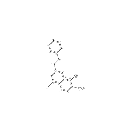 CCOC(=O)c1cnc2c(F)cc(SCc3ccccc3)cc2c1O